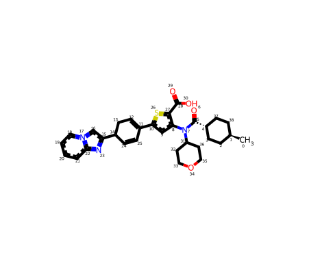 C[C@H]1CC[C@H](C(=O)N(c2cc(C3=CCC(c4cn5ccccc5n4)C=C3)sc2C(=O)O)C2CCOCC2)CC1